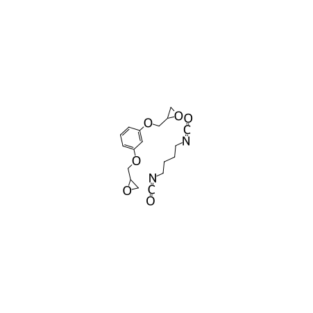 O=C=NCCCCN=C=O.c1cc(OCC2CO2)cc(OCC2CO2)c1